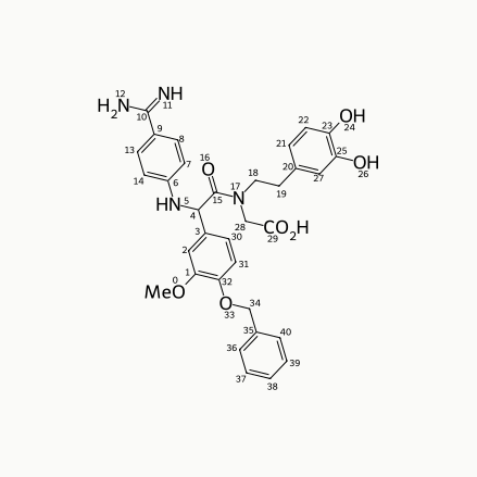 COc1cc(C(Nc2ccc(C(=N)N)cc2)C(=O)N(CCc2ccc(O)c(O)c2)CC(=O)O)ccc1OCc1ccccc1